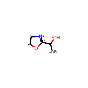 CCCC(O)C1=NCCO1